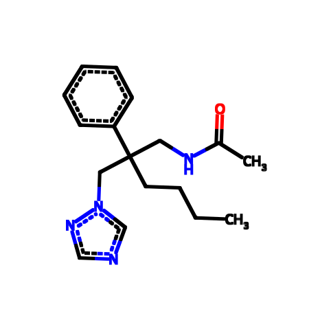 CCCCC(CNC(C)=O)(Cn1cncn1)c1ccccc1